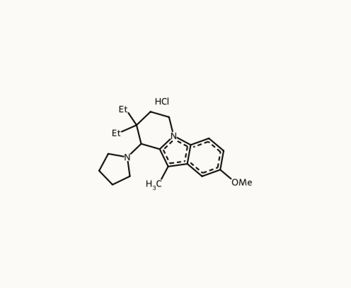 CCC1(CC)CCn2c(c(C)c3cc(OC)ccc32)C1N1CCCC1.Cl